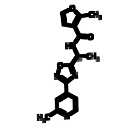 Cc1cc(-c2noc([C@H](C)NC(=O)c3ccoc3C)n2)ccn1